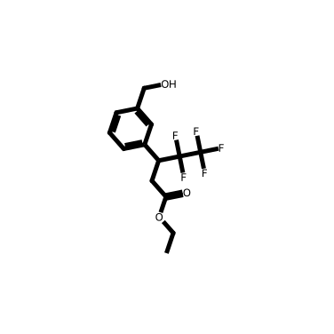 CCOC(=O)CC(c1cccc(CO)c1)C(F)(F)C(F)(F)F